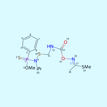 COP(=S)(c1ccccc1)N(SCNC(=O)O/N=C(\C)SC)C(C)C